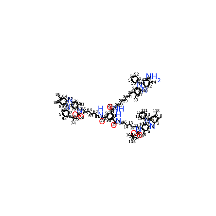 Cc1cc2nc3cc(C)c(N(CCCCCCNC(=O)c4cc(C(=O)NCCCCCCCc5cc6c(cc5C)nc5cc(C)c(N)cc5[n+]6-c5ccccc5)cc(C(=O)NCCCCCCN(C(=O)OC(C)(C)C)c5cc6c(cc5C)nc5cc(C)c(C)cc5[n+]6-c5ccccc5)c4)C(=O)OC(C)(C)C)cc3[n+](-c3ccccc3)c2cc1C